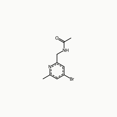 CC(=O)NCc1cc(Br)cc(C)n1